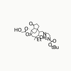 CC[C@@]1(C)C[C@@H](OC(=O)CO)[C@@]2(C)C3C(=O)CCC3(CC[C@H]2C)C(CN2CCN(C(=O)OC(C)(C)C)CC2)C1O